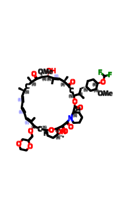 CO[C@@H]1C[C@H](C[C@@H](C)[C@@H]2CC(=O)[C@H](C)/C=C(\C)[C@@H](O)[C@@H](OC)C(=O)[C@H](C)C[C@H](C)/C=C/C=C/C=C(\C)[C@@H](OCC3COCCO3)C[C@@H]3CC[C@@H](C)[C@@](O)(O3)C(=O)C(=O)N3CCCC[C@H]3C(=O)O2)CC[C@H]1OC(F)F